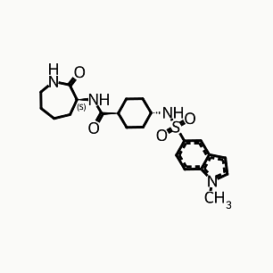 Cn1ccc2cc(S(=O)(=O)N[C@H]3CC[C@H](C(=O)N[C@H]4CCCCNC4=O)CC3)ccc21